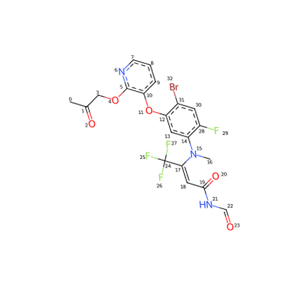 CC(=O)COc1ncccc1Oc1cc(N(C)/C(=C\C(=O)NC=O)C(F)(F)F)c(F)cc1Br